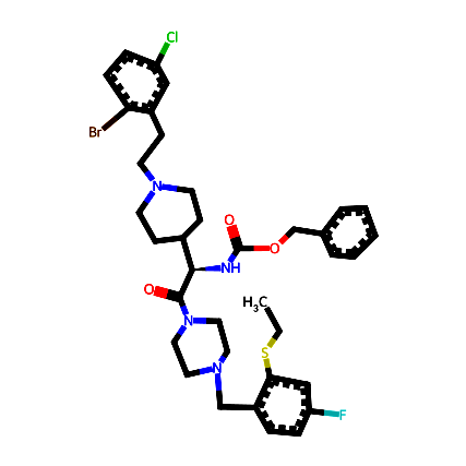 CCSc1cc(F)ccc1CN1CCN(C(=O)[C@H](NC(=O)OCc2ccccc2)C2CCN(CCc3cc(Cl)ccc3Br)CC2)CC1